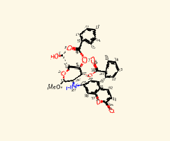 CO[C@H]1O[C@H](CO)[C@@H](OC(=O)c2ccccc2)[C@H](OC(=O)c2ccccc2)[C@H]1Nc1ccc2ccc(=O)oc2c1